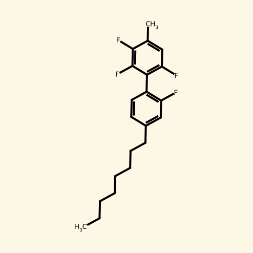 CCCCCCCCc1ccc(-c2c(F)cc(C)c(F)c2F)c(F)c1